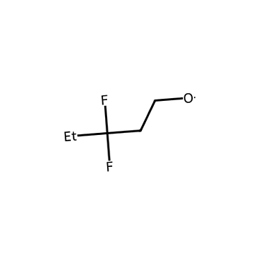 CCC(F)(F)CC[O]